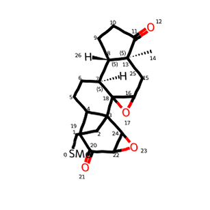 CSCCC12C(CC[C@H]3[C@@H]4CCC(=O)[C@@]4(C)CC4OC431)CC(=O)C1OC12